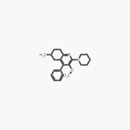 CC1CCc2nc(N3CCCCC3)c(OC(=O)O)c(-c3ccccc3)c2C1